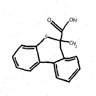 CC1(C(=O)O)Sc2ccccc2-c2ccccc21